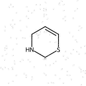 [C]1NCC=CS1